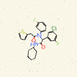 O=C(NC1CCCCC1)C(c1cc(F)cc(Cl)c1)N(C(=O)Cc1cccs1)c1cccc(F)c1